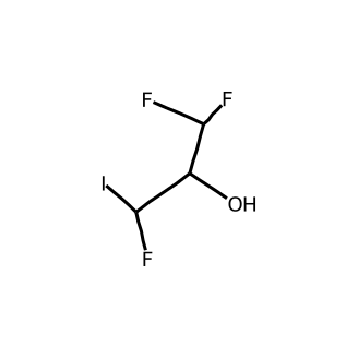 OC(C(F)F)C(F)I